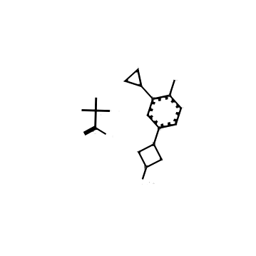 CNC1CC(c2ccc(C)c(C3CC3)c2)C1.O=C(O)C(F)(F)F